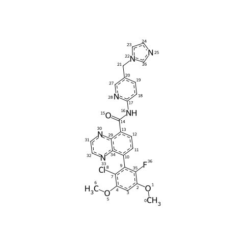 COc1cc(OC)c(Cl)c(-c2ccc(C(=O)Nc3ccc(Cn4ccnc4)cn3)c3nccnc23)c1F